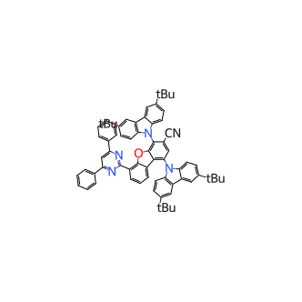 CC(C)(C)c1ccc2c(c1)c1cc(C(C)(C)C)ccc1n2-c1c(C#N)cc(-n2c3ccc(C(C)(C)C)cc3c3cc(C(C)(C)C)ccc32)c2c1oc1c(-c3nc(-c4ccccc4)cc(-c4ccccc4)n3)cccc12